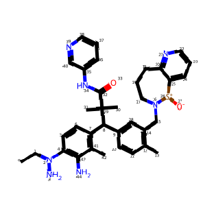 CCN(N)c1ccc(C(c2ccc(C)c(CN3CCCc4ncccc4[S+]3[O-])c2)C(C)(C)C(=O)Nc2cccnc2)c(C)c1N